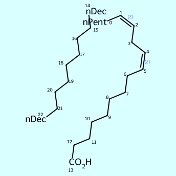 CCCCC/C=C\C/C=C\CCCCCCCC(=O)O.CCCCCCCCCCCCCCCCCCCCCCCCCCC